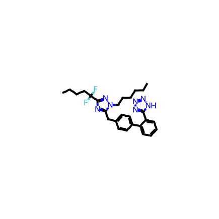 CCCCCCn1nc(C(F)(F)CCCC)nc1Cc1ccc(-c2ccccc2-c2nnn[nH]2)cc1